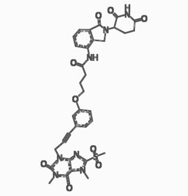 Cn1c(=O)c2c(nc(S(C)(=O)=O)n2C)n(CC#Cc2cccc(OCCCC(=O)Nc3cccc4c3CN(C3CCC(=O)NC3=O)C4=O)c2)c1=O